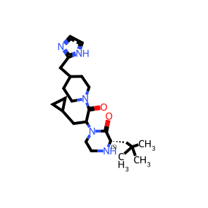 CC(C)(C)C[C@@H]1NCCN(C(CC2CC2)C(=O)N2CCC(Cc3ncc[nH]3)CC2)C1=O